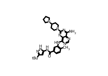 Cc1ccc(C(=O)Nc2cc(C(C)(C)C)n[nH]2)cc1Nc1ncnc2c(N)nc(N3CCC(N4CCCC4)CC3)nc12